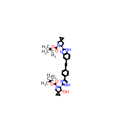 CC(C)(C)OC(=O)N1CC2(CC2)[C@@H](O)[C@H]1c1nc(-c2ccc(C#Cc3ccc4[nH]c([C@@H]5CC6(CC6)CN5C(=O)OC(C)(C)C)nc4c3)cc2)c[nH]1